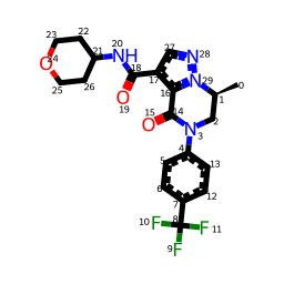 C[C@H]1CN(c2ccc(C(F)(F)F)cc2)C(=O)c2c(C(=O)NC3CCOCC3)cnn21